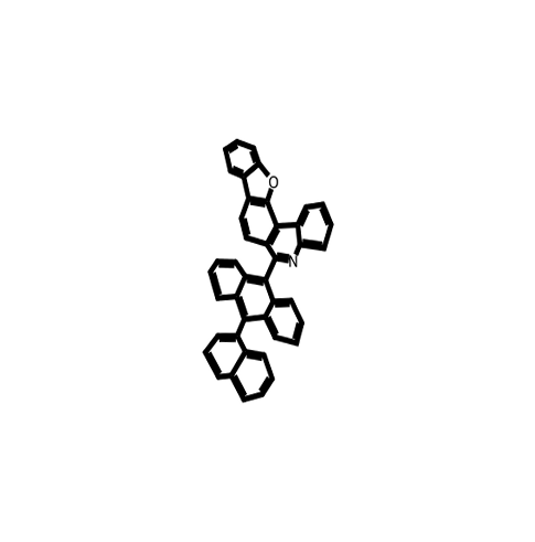 c1ccc2c(-c3c4ccccc4c(-c4nc5ccccc5c5c4ccc4c6ccccc6oc45)c4ccccc34)cccc2c1